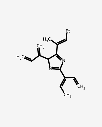 C=CC(=C)C1N=C(/C(C=C)=C/C)N=C1/C(C)=C/CC